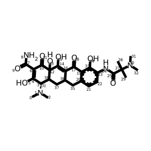 CN(C)[C@@H]1C(O)=C(C(N)=O)C(=O)C2(O)C(O)=C3C(=O)c4c(ccc(NC(=O)C(C)(C)N(C)C)c4O)CC3CC12